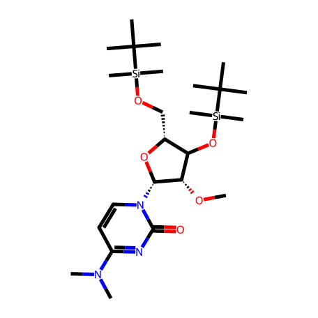 CO[C@H]1C(O[Si](C)(C)C(C)(C)C)[C@@H](CO[Si](C)(C)C(C)(C)C)O[C@H]1n1ccc(N(C)C)nc1=O